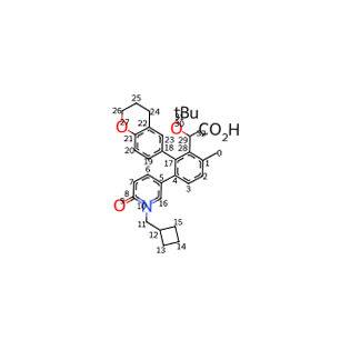 Cc1ccc(-c2ccc(=O)n(CC3CCC3)c2)c(-c2ccc3c(c2)CCCO3)c1C(OC(C)(C)C)C(=O)O